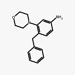 Nc1ccc(Cc2ccccc2)c(N2CCOCC2)c1